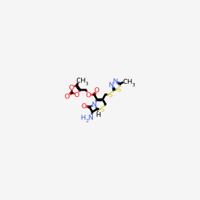 Cc1nnc(SCC2=C(C(=O)OCc3oc(=O)oc3C)N3C(=O)C(N)[C@@H]3SC2)s1